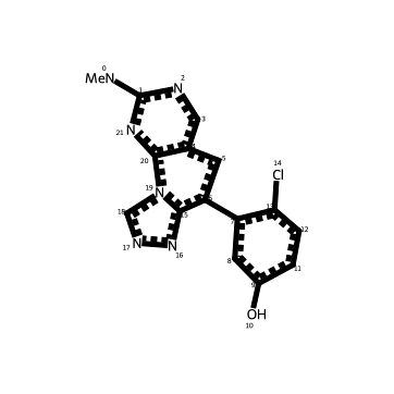 CNc1ncc2cc(-c3cc(O)ccc3Cl)c3nncn3c2n1